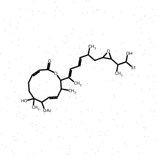 CCC(O)C(C)C1OC1CC(C)/C=C/C=C(\C)C1OC(=O)/C=C\CCC(C)(O)C(OC(C)=O)/C=C/C1C